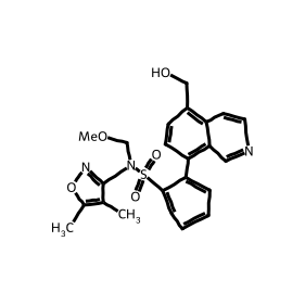 COCN(c1noc(C)c1C)S(=O)(=O)c1ccccc1-c1ccc(CO)c2ccncc12